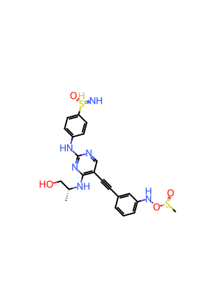 C[C@H](CO)Nc1nc(Nc2ccc([SH](=N)=O)cc2)ncc1C#Cc1cccc(NOS(C)=O)c1